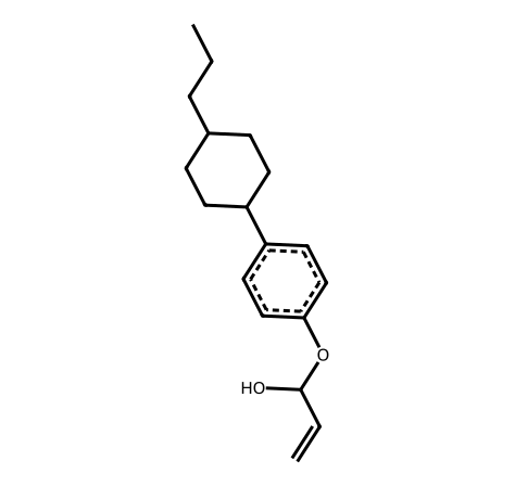 C=CC(O)Oc1ccc(C2CCC(CCC)CC2)cc1